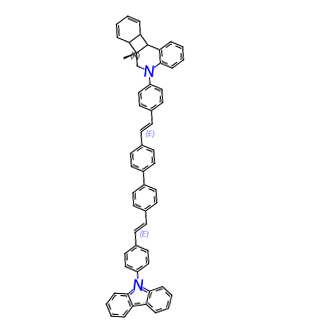 C[C@]12CN(c3ccc(/C=C/c4ccc(-c5ccc(/C=C/c6ccc(-n7c8ccccc8c8ccccc87)cc6)cc5)cc4)cc3)c3ccccc3C1C1C=CC=CC12